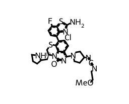 COCCN=C=NC1CCN(c2nc(=O)n3c4c(c(-c5ccc(F)c6sc(N)nc56)c(Cl)cc24)SC[C@@H]3CC2CCCN2)CC1